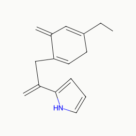 C=C1C=C(CC)CC=C1CC(=C)c1ccc[nH]1